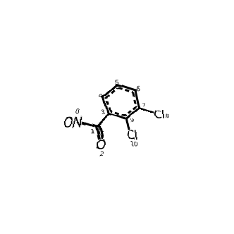 O=NC(=O)c1cccc(Cl)c1Cl